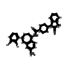 O=C(N[C@@H]1CC[C@@H](c2cccc(F)c2F)Cc2cc([N+](=O)[O-])cnc21)N1CCC(n2c(=O)[nH]c3ncccc32)CC1